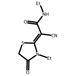 CCNC(=O)/C(C#N)=C1\SCC(=O)N1CC